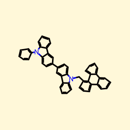 c1ccc(-n2c3ccccc3c3cc(-c4ccc5c(c4)c4ccccc4n5Cc4cccc5c6ccccc6c6ccccc6c45)ccc32)cc1